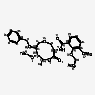 CCCCO[C@H]1[C@H](C)OC(=O)[C@@H](NC(=O)c2nccc(OC)c2OCOC(C)=O)COC[C@@H]1OCc1ccccc1